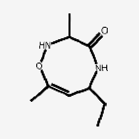 CCC1/C=C(/C)ONC(C)C(=O)N1